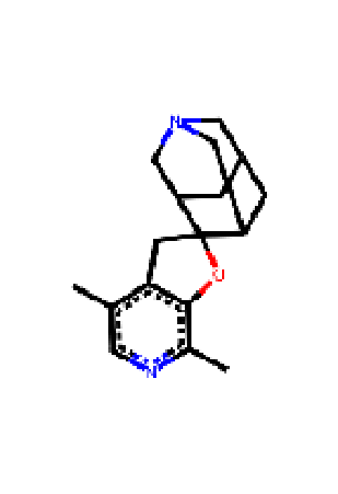 Cc1cnc(C)c2c1CC1(O2)C2CC3CC1CN(C3)C2